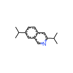 CC(C)c1ccc2cc(C(C)C)ncc2c1